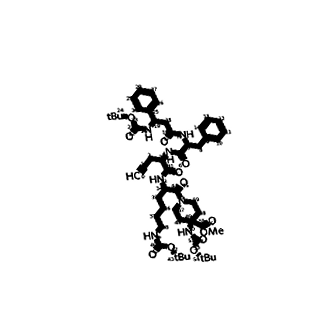 C#CCC(NC(=O)C(Cc1ccccc1)NC(=O)CC(NC(=O)OC(C)(C)C)c1ccccc1)C(=O)NC(CCCCNC(=O)OC(C)(C)C)C(=O)N1CCC(NC(=O)OC(C)(C)C)(C(=O)OC)CC1